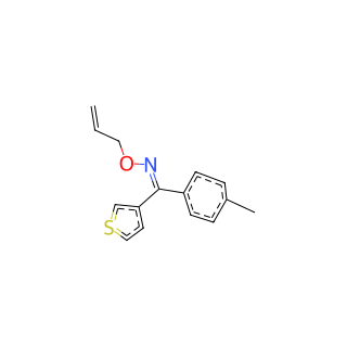 C=CCO/N=C(/c1ccc(C)cc1)c1ccsc1